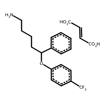 NCCCCC(Oc1ccc(C(F)(F)F)cc1)c1ccccc1.O=C(O)C=CC(=O)O